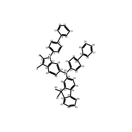 Cc1c(C)n(-c2ccc(-c3ccccc3)cc2)c2cc(N(c3ccc(-c4ccccc4)cc3)c3ccc4c(c3)C(C)(C)c3ccccc3-4)ccc12